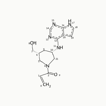 C=CC(=O)N1C[C@H](CO)C[C@H](Nc2ncnc3[nH]ccc23)C1